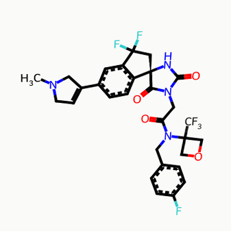 CN1CC=C(c2ccc3c(c2)C(F)(F)C[C@]32NC(=O)N(CC(=O)N(Cc3ccc(F)cc3)C3(C(F)(F)F)COC3)C2=O)C1